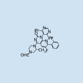 CC(C)c1ncnc(C(C)C)c1-n1c(=O)nc(N2CCN(C=O)CC2C)c2cc(F)c(-c3ccccc3F)nc21